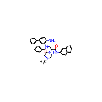 CN1CCN(C(CN(C(=O)c2ccccc2)c2cc(-c3ccccc3)ccc2N)C(=O)Nc2ccc3ccccc3c2)CC1